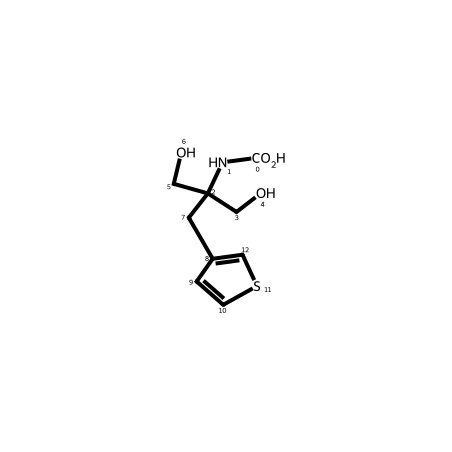 O=C(O)NC(CO)(CO)Cc1ccsc1